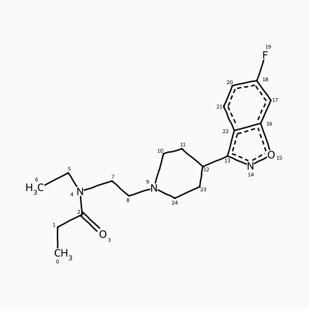 CCC(=O)N(CC)CCN1CCC(c2noc3cc(F)ccc23)CC1